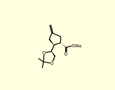 C=C1C[C@H]([C@H]2COC(C)(C)O2)[C@@H](C(=O)OC)C1